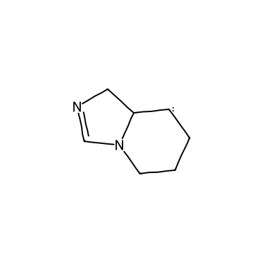 [C]1CCCN2C=NCC12